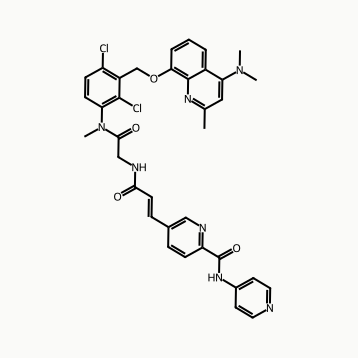 Cc1cc(N(C)C)c2cccc(OCc3c(Cl)ccc(N(C)C(=O)CNC(=O)C=Cc4ccc(C(=O)Nc5ccncc5)nc4)c3Cl)c2n1